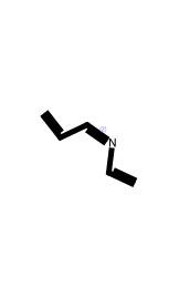 C=C/C=N\C=C